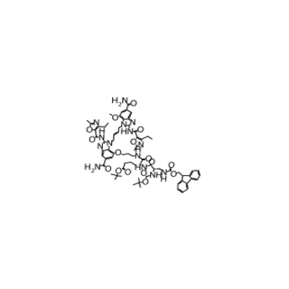 CCc1nc(C)oc1C(=O)Nc1nc2cc(C(N)=O)cc(OC)c2n1C/C=C/Cn1c(NC(=O)c2oc(C)nc2CC)nc2cc(C(N)=O)cc(OCCCNC(=O)[C@@H](CCCC(=O)OC(C)(C)C)NC(=O)[C@@H](CNC(=O)OCC3c4ccccc4-c4ccccc43)NC(=O)OC(C)(C)C)c21